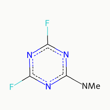 CNc1nc(F)nc(F)n1